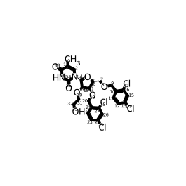 Cc1cn([C@@H]2O[C@H](COCc3ccc(Cl)cc3Cl)[C@@H](OCc3ccc(Cl)cc3Cl)[C@H]2OCCO)c(=O)[nH]c1=O